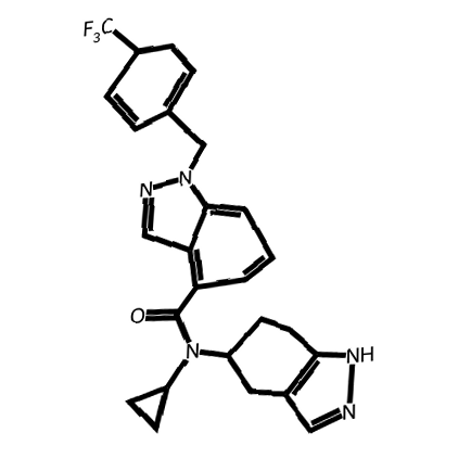 O=C(c1cccc2c1cnn2CC1=CCC(C(F)(F)F)C=C1)N(C1CC1)C1CCc2[nH]ncc2C1